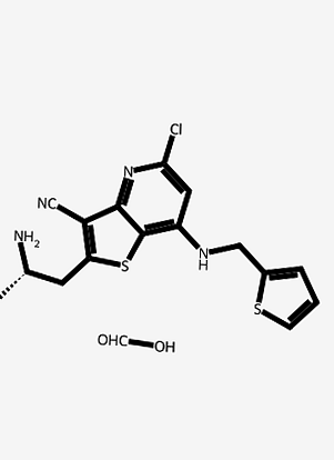 C[C@H](N)Cc1sc2c(NCc3cccs3)cc(Cl)nc2c1C#N.O=CO